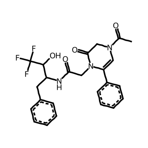 CC(=O)N1C=C(c2ccccc2)N(CC(=O)NC(Cc2ccccc2)C(O)C(F)(F)F)C(=O)C1